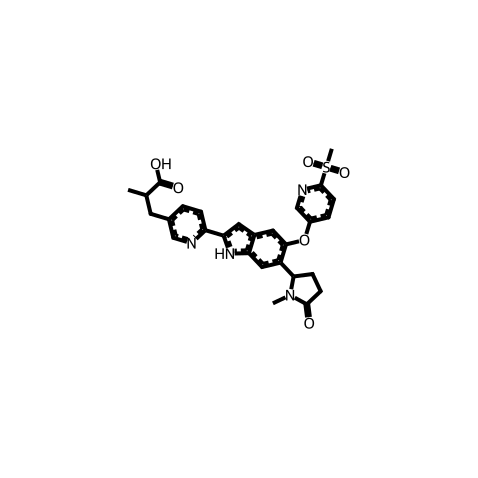 CC(Cc1ccc(-c2cc3cc(Oc4ccc(S(C)(=O)=O)nc4)c(C4CCC(=O)N4C)cc3[nH]2)nc1)C(=O)O